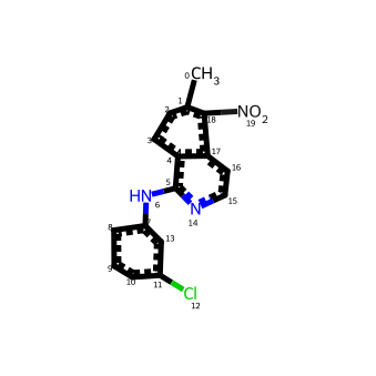 Cc1ccc2c(Nc3cccc(Cl)c3)nccc2c1[N+](=O)[O-]